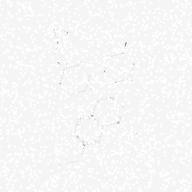 CCCCOc1ccc(N(C(=O)[C@H]2CC[C@H](C)CC2)[C@H]2CC[C@H](OC3CC3)CC2)c(C(=O)OC)c1